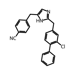 N#Cc1ccc(Cc2cnc(Cc3ccc(-c4ccccc4)c(Cl)c3)[nH]2)cc1